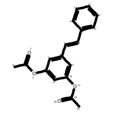 CC(=O)Oc1cc(C=Cc2cc[c]cc2)cc(OC(C)=O)c1